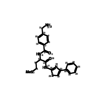 CSCCC(NC(=O)c1ccc(CN)cc1)C(=O)Nc1nc(-c2ccccc2)cs1